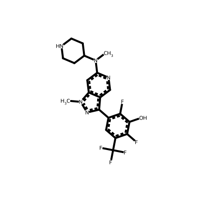 CN(c1cc2c(cn1)c(-c1cc(C(F)(F)F)c(F)c(O)c1F)nn2C)C1CCNCC1